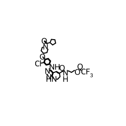 O=C(NCCCOC(=O)C(F)(F)F)C1=Cc2c(ncnc2Nc2ccc(OC3CCN(C(=O)C4CCCC4)CC3)c(Cl)c2)NCC1